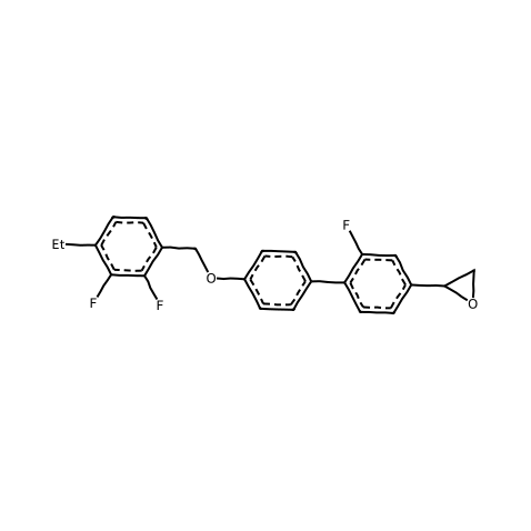 CCc1ccc(COc2ccc(-c3ccc(C4CO4)cc3F)cc2)c(F)c1F